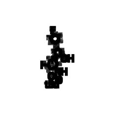 CC(C)(C)OC(=O)N[C@@H]1C[C@@H](F)CN([C@@H]2C[C@H](c3ccc(F)cc3)C[C@H]2O)C1